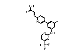 Cc1cc(Nc2nccc(C(F)(F)F)n2)cc(-c2ccc(/C=C/C(=O)O)nc2)c1